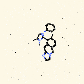 Cc1ccc2cn3ccnc3cc2c1-c1n(-c2ccccc2)cc(C)[n+]1C